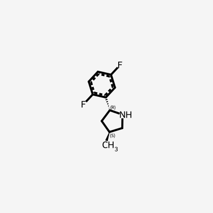 C[C@@H]1CN[C@@H](c2cc(F)ccc2F)C1